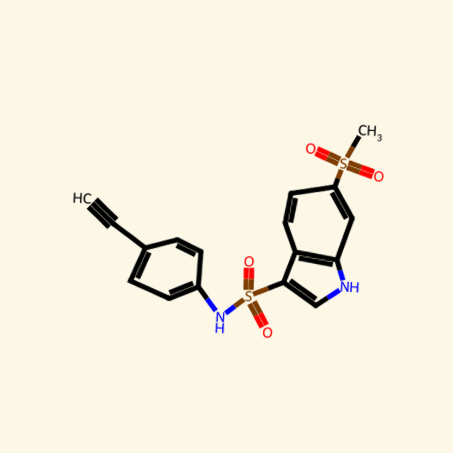 C#Cc1ccc(NS(=O)(=O)c2c[nH]c3cc(S(C)(=O)=O)ccc23)cc1